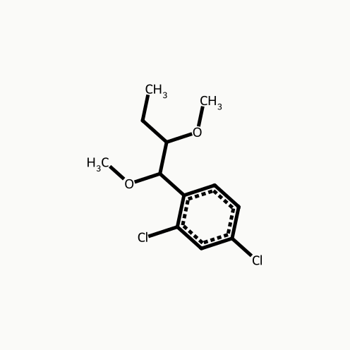 CCC(OC)C(OC)c1ccc(Cl)cc1Cl